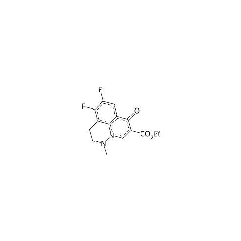 CCOC(=O)c1cn2c3c(c(F)c(F)cc3c1=O)CCN2C